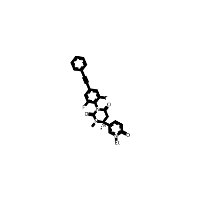 CCn1cc([C@]2(C)CC(=O)N(c3c(F)cc(C#Cc4ccccc4)cc3F)C(=O)N2C)ccc1=O